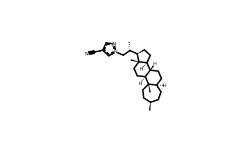 C[C@@H]1CC[C@@H]2CC[C@@H]3[C@H](CC[C@]4(C)[C@@H]([C@@H](C)Cn5cc(C#N)cn5)CC[C@@H]34)[C@@]2(C)CC1